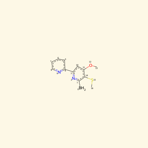 Bc1nc(-c2ccccn2)cc(OC)c1SC